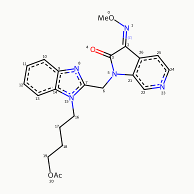 CO/N=C1\C(=O)N(Cc2nc3ccccc3n2CCCCOC(C)=O)c2cnccc21